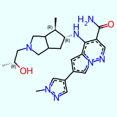 C[C@@H]1C2CN(C[C@@H](C)O)CC2C[C@H]1Nc1c(C(N)=O)cnn2cc(-c3cnn(C)c3)cc12